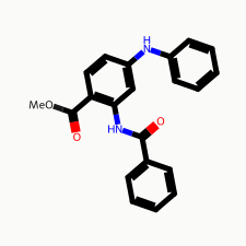 COC(=O)c1ccc(Nc2ccccc2)cc1NC(=O)c1ccccc1